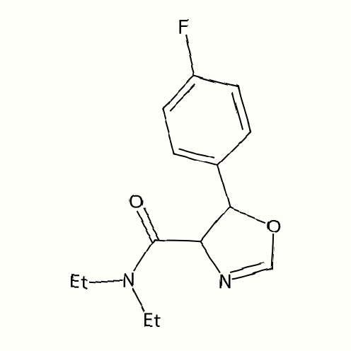 CCN(CC)C(=O)C1N=COC1c1ccc(F)cc1